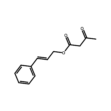 CC(=O)CC(=O)OCC=Cc1ccccc1